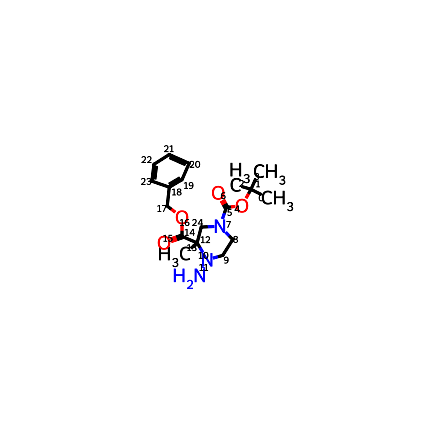 CC(C)(C)OC(=O)N1CCN(N)C(C)(C(=O)OCc2ccccc2)C1